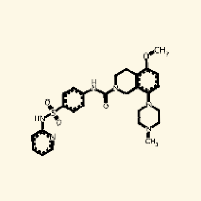 COc1ccc(N2CCN(C)CC2)c2c1CCN(C(=O)Nc1ccc(S(=O)(=O)Nc3ccccn3)cc1)C2